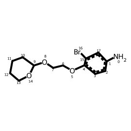 Nc1ccc(OCCOC2CCCCO2)c(Br)c1